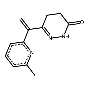 C=C(C1=NNC(=O)CC1)c1cccc(C)n1